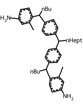 CCCCCCCC(c1ccc(C(CCCC)c2ccc(N)cc2C)cc1)c1ccc(C(CCCC)c2ccc(N)cc2C)cc1